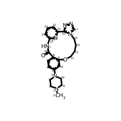 CN1CCN(c2ccc3c(c2)OCCCCn2cnnc2-c2cccc(n2)NC3=O)CC1